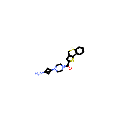 NC12CC(N3CCN(C(=O)c4cc5c(s4)-c4ccccc4SC5)CC3)(C1)C2